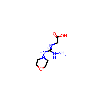 NN/C(=N\CC(=O)O)NN1CCOCC1